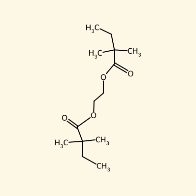 CCC(C)(C)C(=O)OCCOC(=O)C(C)(C)CC